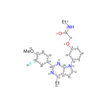 CCNC(=O)COc1cccc(-n2ccc3c(CC)nc(-c4ccc(OC)c(F)c4)nc32)c1